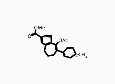 COC(=O)c1ccc2c(c1)CCCC(C1=CC[C@@H](C)CC1)=C2OC(C)=O